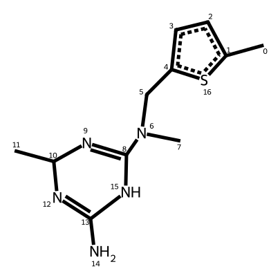 Cc1ccc(CN(C)C2=NC(C)N=C(N)N2)s1